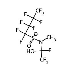 CN(C(O)(F)C(F)(F)F)S(=O)(=O)C(F)(F)C(F)(F)C(F)(F)C(F)(F)F